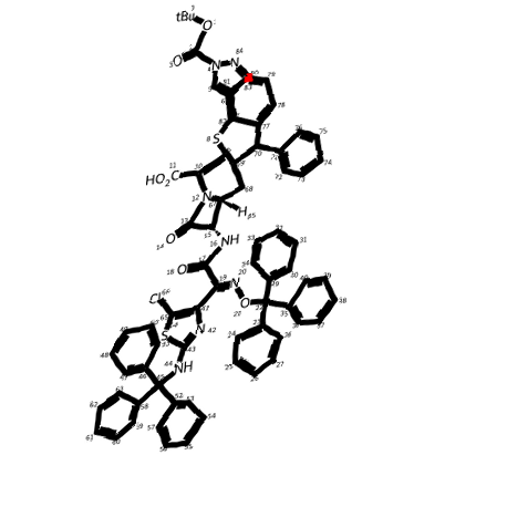 CC(C)(C)OC(=O)n1cc(CSC2=C(C(=O)O)N3C(=O)[C@@H](NC(=O)C(=NOC(c4ccccc4)(c4ccccc4)c4ccccc4)c4nc(NC(c5ccccc5)(c5ccccc5)c5ccccc5)sc4Cl)[C@H]3CC2C(c2ccccc2)c2ccccc2)cn1